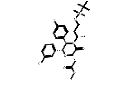 COC(=O)C[C@@H]1O[C@H](c2cccc(Cl)c2)[C@@H](c2ccc(Cl)cc2)N([C@@H](C)CCO[Si](C)(C)C(C)(C)C)C1=O